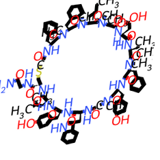 CCCC[C@H]1C(=O)N(C)[C@H](C)C(=O)N[C@@H](CC(=O)O)C(=O)N[C@@H](C(C)C)C(=O)N(C)[C@@H](Cc2ccccc2)C(=O)N[C@@H](Cc2ccc(O)cc2)C(=O)N(C)CC(=O)N[C@@H](Cc2c[nH]c3ccccc23)C(=O)N[C@@H](Cc2ccc(O)cc2)C(=O)N[C@@H](CC(C)C)C(=O)N[C@H](C(=O)NCC(N)=O)CSCC(=O)N[C@@H](Cc2ccccc2)C(=O)N(C)[C@@H](Cc2ccccc2)C(=O)N1C